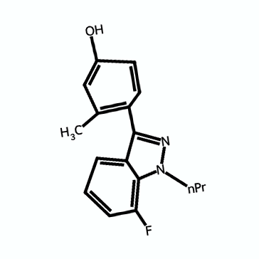 CCCn1nc(-c2ccc(O)cc2C)c2cccc(F)c21